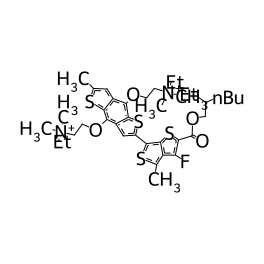 CCCCC(CC)COC(=O)c1sc2c(-c3cc4c(OCC[N+](C)(C)CC)c5sc(C)cc5c(OCC[N+](C)(C)CC)c4s3)sc(C)c2c1F